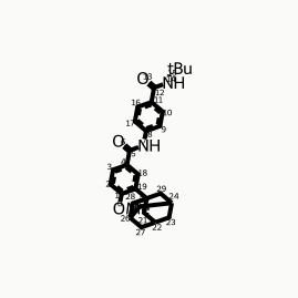 COc1ccc(C(=O)Nc2ccc(C(=O)NC(C)(C)C)cc2)cc1C12CC3CC(CC(C3)C1)C2